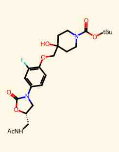 CC(=O)NC[C@H]1CN(c2ccc(OCC3(O)CCN(C(=O)OC(C)(C)C)CC3)c(F)c2)C(=O)O1